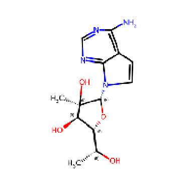 C[C@@H](O)[C@H]1O[C@@H](n2ccc3c(N)ncnc32)[C@](C)(O)[C@@H]1O